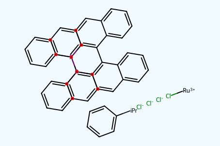 CC(C)c1ccccc1.[Cl-].[Cl-].[Cl-].[Cl][Ru+3].c1ccc(P(c2ccccc2)c2ccc3ccccc3c2-c2c(P(c3ccccc3)c3ccccc3)ccc3ccccc23)cc1